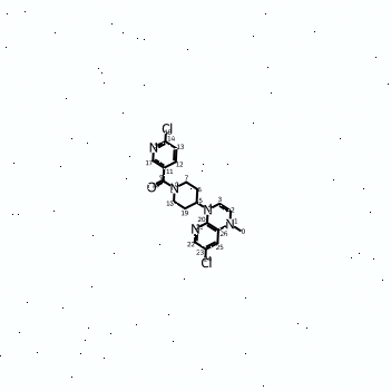 CN1C=CN(C2CCN(C(=O)c3ccc(Cl)nc3)CC2)c2ncc(Cl)cc21